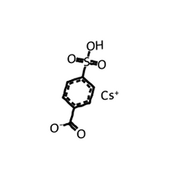 O=C([O-])c1ccc(S(=O)(=O)O)cc1.[Cs+]